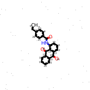 C=Cc1ccc(C(=O)Nc2cccc3c2C(=O)c2ccccc2C3=O)cc1